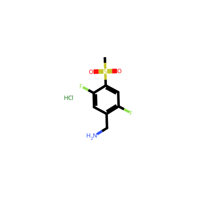 CS(=O)(=O)c1cc(F)c(CN)cc1F.Cl